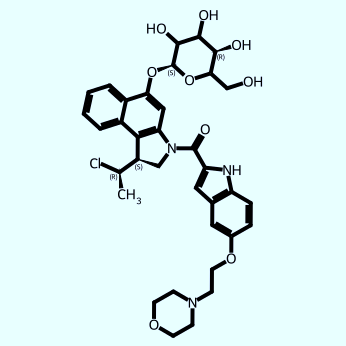 C[C@@H](Cl)[C@@H]1CN(C(=O)c2cc3cc(OCCN4CCOCC4)ccc3[nH]2)c2cc(O[C@@H]3OC(CO)[C@H](O)C(O)C3O)c3ccccc3c21